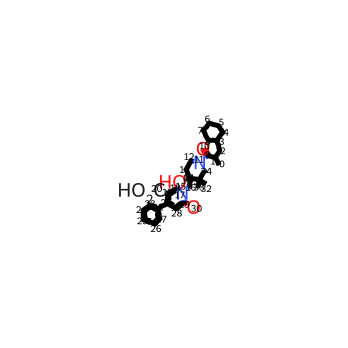 CC(CC1CCCCC1)C(=O)N1CC[C@](O)(Cn2cc(C(=O)O)c(-c3ccccc3)cc2=O)C(C)(C)C1